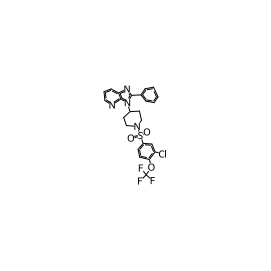 O=S(=O)(c1ccc(OC(F)(F)F)c(Cl)c1)N1CCC(n2c(-c3ccccc3)nc3cccnc32)CC1